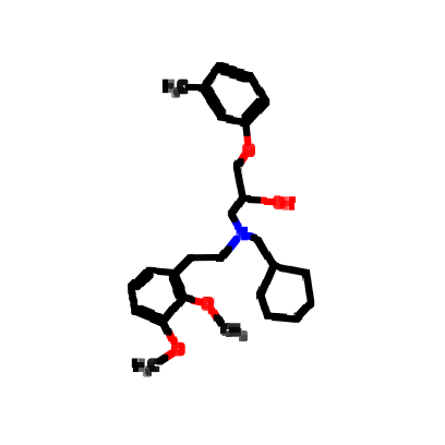 COc1cccc(CCN(CC(O)COc2cccc(C)c2)CC2CCCCC2)c1OC